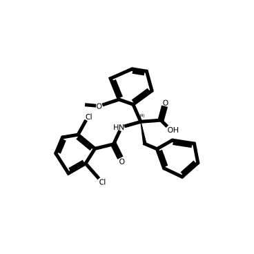 COc1ccccc1[C@@](Cc1ccccc1)(NC(=O)c1c(Cl)cccc1Cl)C(=O)O